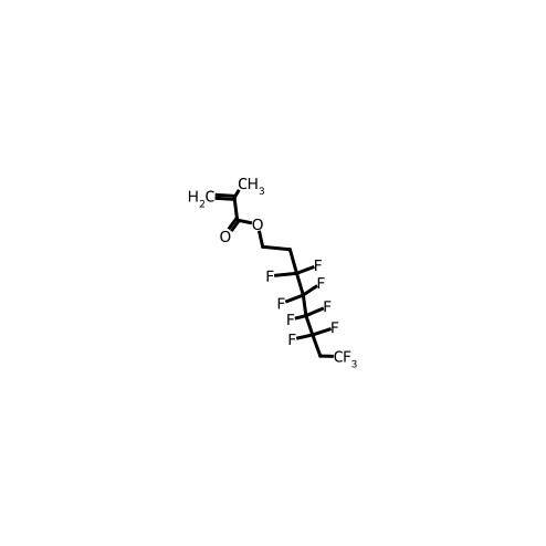 C=C(C)C(=O)OCCC(F)(F)C(F)(F)C(F)(F)C(F)(F)CC(F)(F)F